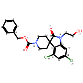 O=C(OCc1ccccc1)N1CCC2(CC1)C(=O)N(CCO)c1cc(Cl)cc(Cl)c12